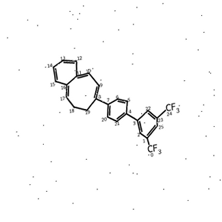 FC(F)(F)c1cc(-c2ccc(/C3=C/C=c4/cccc/c4=C/CC3)cc2)cc(C(F)(F)F)c1